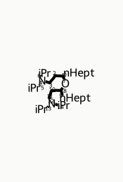 CCCCCCCC(CCN(C(C)C)C(C)C)OC(CCCCCCC)CCN(C(C)C)C(C)C